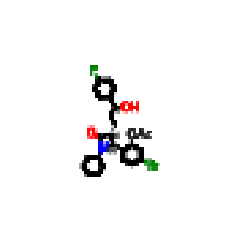 CC(=O)Oc1cc(Br)ccc1[C@@H]1[C@@H](CC[C@H](O)c2ccc(F)cc2)C(=O)N1c1ccccc1